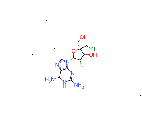 NC1=Nc2c(ncn2[C@@H]2O[C@@](CO)(CCl)[C@@H](O)[C@H]2F)C(N)N1